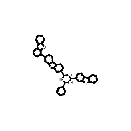 c1ccc(C2NC(c3ccc4c(c3)oc3ccccc34)NC(c3ccc4c(c3)oc3cc(-c5cccc6c5oc5ccccc56)ccc34)N2)cc1